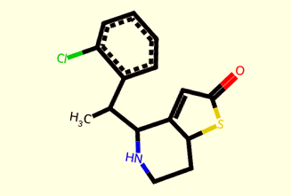 CC(c1ccccc1Cl)C1NCCC2SC(=O)C=C21